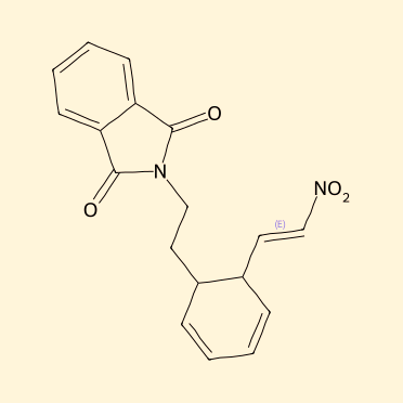 O=C1c2ccccc2C(=O)N1CCC1C=CC=CC1/C=C/[N+](=O)[O-]